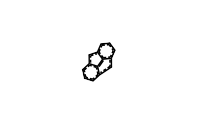 c1cc2cc3cccc4cc(c1)c2=c34